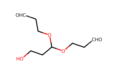 O=CCCOC(CCO)OCCC=O